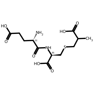 CC(CSC[C@H](NC(=O)[C@@H](N)CCC(=O)O)C(=O)O)C(=O)O